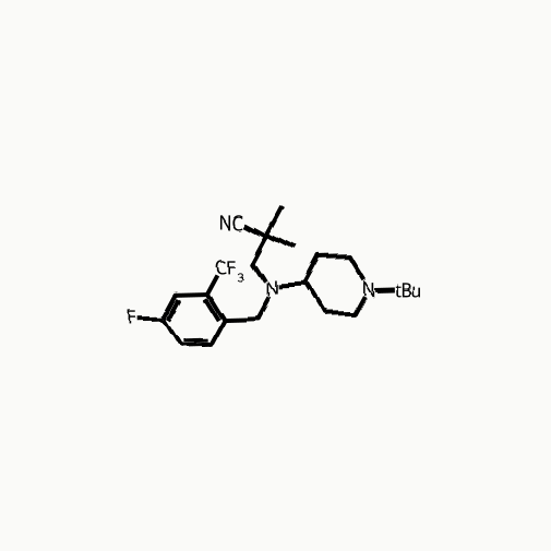 CC(C)(C#N)CN(Cc1ccc(F)cc1C(F)(F)F)C1CCN(C(C)(C)C)CC1